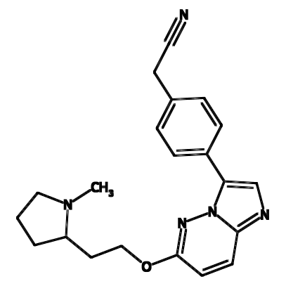 CN1CCCC1CCOc1ccc2ncc(-c3ccc(CC#N)cc3)n2n1